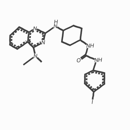 CN(C)c1nc(NC2CCC(NC(=O)Nc3ccc(I)cc3)CC2)nc2ccccc12